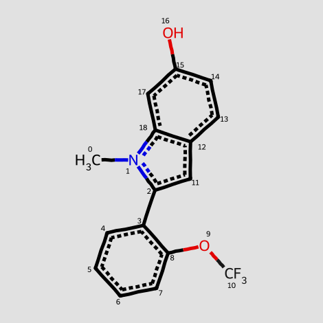 Cn1c(-c2ccccc2OC(F)(F)F)cc2ccc(O)cc21